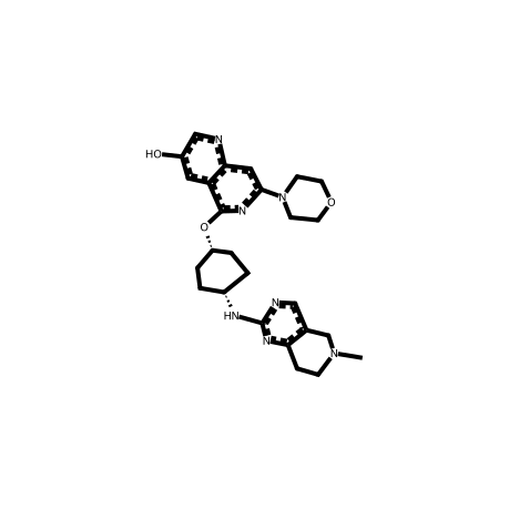 CN1CCc2nc(N[C@H]3CC[C@@H](Oc4nc(N5CCOCC5)cc5ncc(O)cc45)CC3)ncc2C1